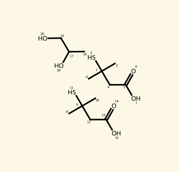 CC(C)(S)CC(=O)O.CC(C)(S)CC(=O)O.CC(O)CO